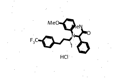 CNC(=O)C(c1ccccc1)N(c1cccc(OC)c1)[C@H](I)CCc1ccc(C(F)(F)F)cc1.Cl